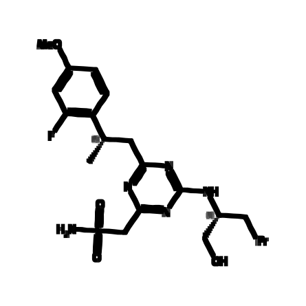 COc1ccc([C@@H](C)Cc2nc(CS(N)(=O)=O)nc(N[C@@H](CO)CC(C)C)n2)c(F)c1